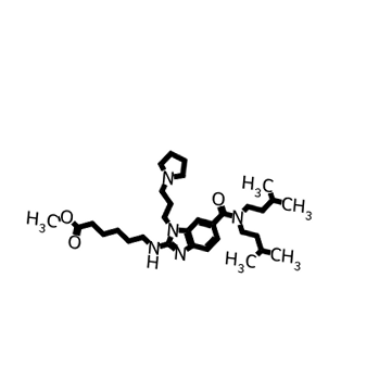 COC(=O)CCCCCNc1nc2ccc(C(=O)N(CCC(C)C)CCC(C)C)cc2n1CCCN1CCCC1